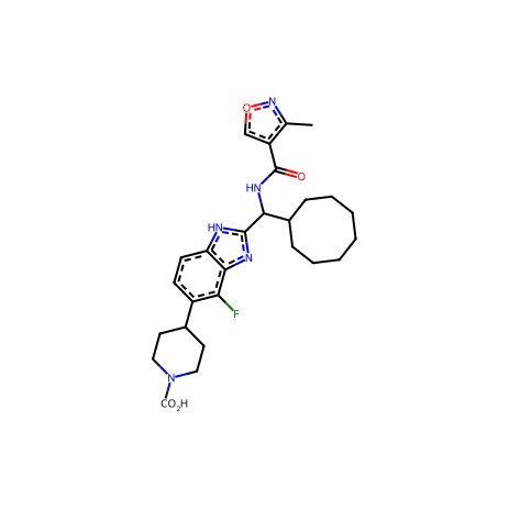 Cc1nocc1C(=O)NC(c1nc2c(F)c(C3CCN(C(=O)O)CC3)ccc2[nH]1)C1CCCCCCC1